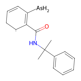 CC(C)(NC(=O)C1=C([AsH2])C=CC[CH]1)c1ccccc1